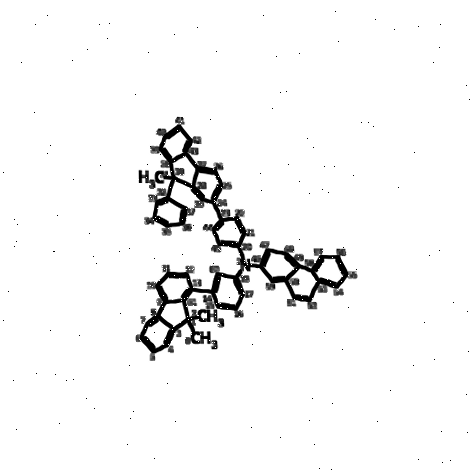 CC1(C)c2ccccc2-c2cccc(-c3cccc(N(c4ccc(-c5ccc6c(c5)C(C)(c5ccccc5)c5ccccc5-6)cc4)c4ccc5c(ccc6ccccc65)c4)c3)c21